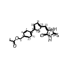 CC(=O)OCc1ccc(-c2ccc(C=C3NC(=S)NC3=O)s2)cc1